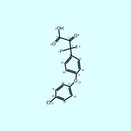 O=C(O)C(=O)C(F)(F)c1ccc(Oc2ccc(Cl)cc2)cc1